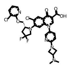 CN(C)C1CN(c2ccc(-n3cc(C(=O)O)c(=O)c4cc(Cl)c(N5CC(F)(F)C[C@@H]5COc5ncccc5Cl)cc43)cn2)C1